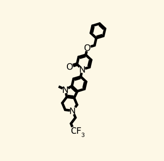 Cn1c2c(c3ccc(-n4ccc(OCc5ccccc5)cc4=O)cc31)CN(CCC(F)(F)F)CC2